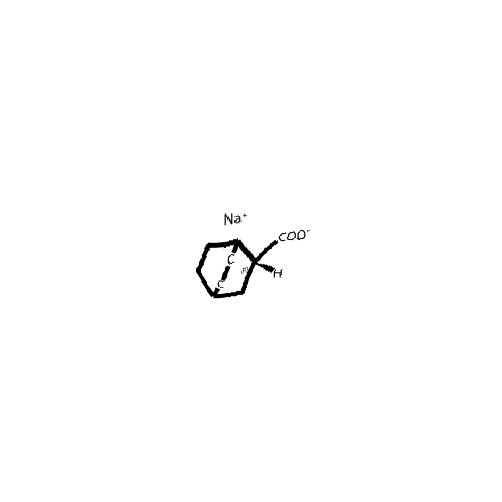 O=C([O-])[C@@H]1CC2CCC1CC2.[Na+]